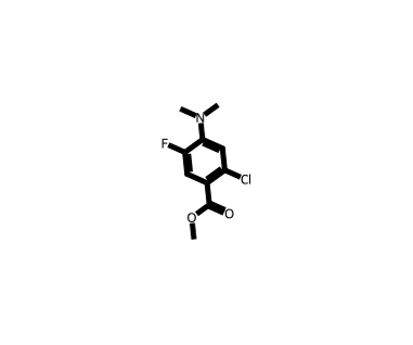 COC(=O)c1cc(F)c(N(C)C)cc1Cl